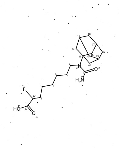 NC(=O)N(CCCCCCC(F)C(=O)O)C12CC3CC(CC(C3)C1)C2